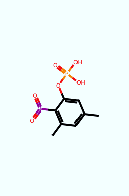 Cc1cc(C)c(I(=O)=O)c(OP(=O)(O)O)c1